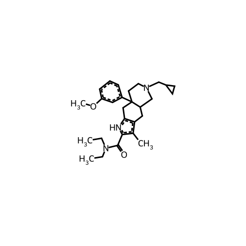 CCN(CC)C(=O)c1[nH]c2c(c1C)CC1CN(CC3CC3)CCC1(c1cccc(OC)c1)C2